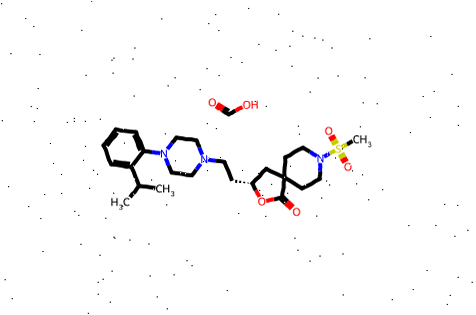 CC(C)c1ccccc1N1CCN(CC[C@@H]2CC3(CCN(S(C)(=O)=O)CC3)C(=O)O2)CC1.O=CO